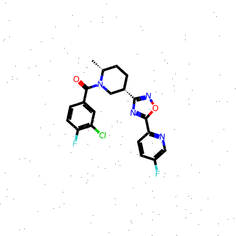 C[C@@H]1CC[C@H](c2noc(-c3ccc(F)cn3)n2)CN1C(=O)c1ccc(F)c(Cl)c1